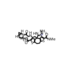 CNC(=O)c1cc2c(s1)CCc1sc(C(=O)NC)cc1C2(CCNCC(=O)N1C(C#N)C[C@@H]2C[C@@H]21)C(=N)/N=N\N